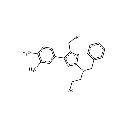 CC(=O)CCN(Cc1ccccc1)c1nc(-c2ccc(C)c(C)c2)c(CC(C)C)s1